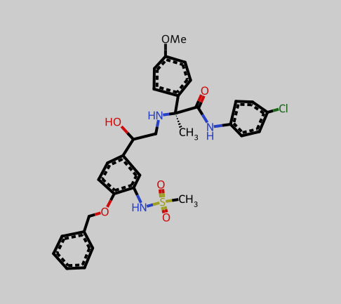 COc1ccc([C@](C)(NCC(O)c2ccc(OCc3ccccc3)c(NS(C)(=O)=O)c2)C(=O)Nc2ccc(Cl)cc2)cc1